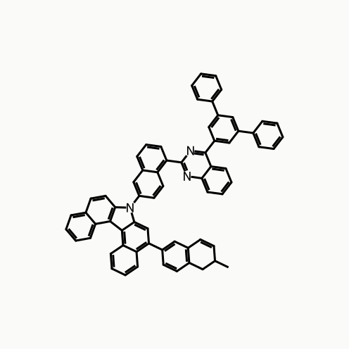 CC1C=Cc2cc(-c3cc4c(c5ccccc35)c3c5ccccc5ccc3n4-c3ccc4c(-c5nc(-c6cc(-c7ccccc7)cc(-c7ccccc7)c6)c6ccccc6n5)cccc4c3)ccc2C1